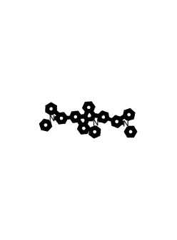 c1ccc(-n2c3ccccc3c3cc(-c4ccc5c(c4)c4ccccc4c4c5c5ccccc5c5c6ccc(-c7ccc8c(c7)c7ccccc7n8-c7ccccc7)cc6n(-c6ccccc6)c54)ccc32)cc1